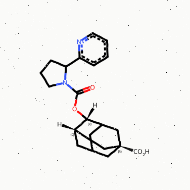 O=C(O[C@@H]1C2CC3C[C@H]1C[C@@](C(=O)O)(C3)C2)N1CCCC1c1ccccn1